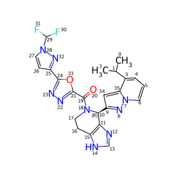 CC(C)c1cccn2nc([C@H]3c4nc[nH]c4CCN3C(=O)c3nnc(-c4ccn(C(F)F)n4)o3)cc12